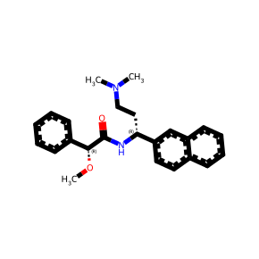 CO[C@@H](C(=O)N[C@H](CCN(C)C)c1ccc2ccccc2c1)c1ccccc1